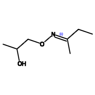 CC/C(C)=N/OCC(C)O